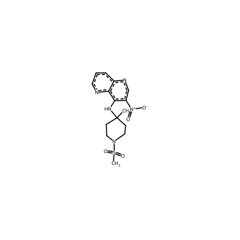 CC1(Nc2c([N+](=O)[O-])cnc3cccnc23)CCN(S(C)(=O)=O)CC1